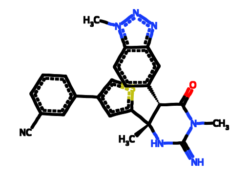 CN1C(=N)N[C@](C)(c2cc(-c3cccc(C#N)c3)cs2)[C@H](c2ccc3c(c2)nnn3C)C1=O